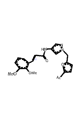 COc1cccc(/C=C/C(=O)Nc2cnn(Cc3ccc(C(C)=O)o3)c2)c1OC